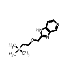 C[Si](C)(C)CCOCc1nc2cnccc2[nH]1